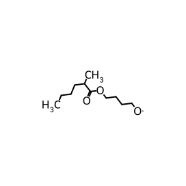 CCCCC(C)C(=O)OCCCC[O]